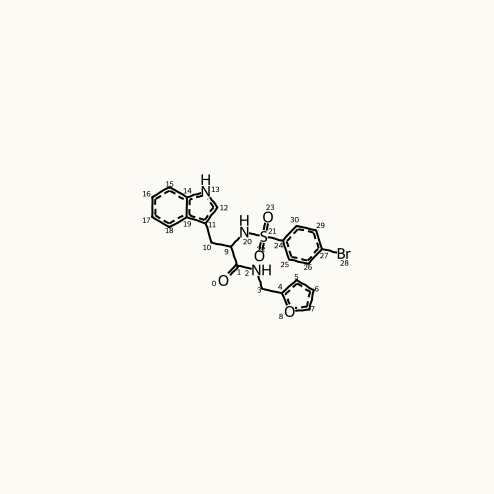 O=C(NCc1ccco1)C(Cc1c[nH]c2ccccc12)NS(=O)(=O)c1ccc(Br)cc1